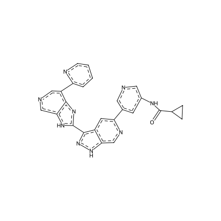 O=C(Nc1cncc(-c2cc3c(-c4nc5c(-c6ccccn6)cncc5[nH]4)n[nH]c3cn2)c1)C1CC1